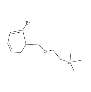 C[Si](C)(C)CCOCC1CC=CC=C1Br